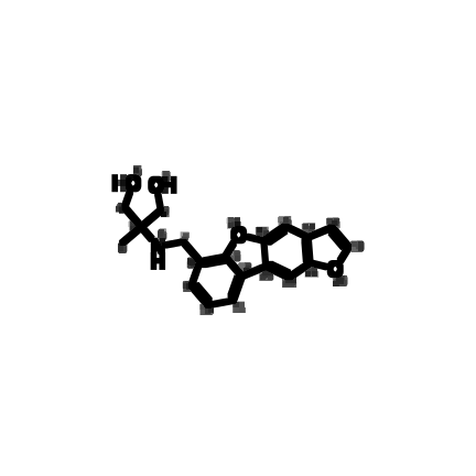 CC(CO)(CO)NCc1cccc2c1oc1cc3ccoc3cc12